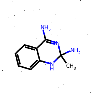 CC1(N)N=C(N)c2ccccc2N1